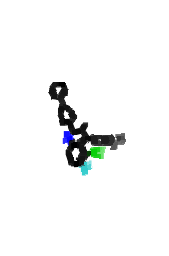 Cc1c(-c2ccc(-c3ccccc3)cc2)nc2ccc(F)c(Cl)c2c1C(=O)O